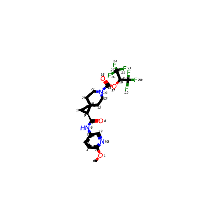 COc1ccc(NC(=O)[C@H]2CC23CCN(C(=O)OC(C(F)(F)F)C(F)(F)F)CC3)cn1